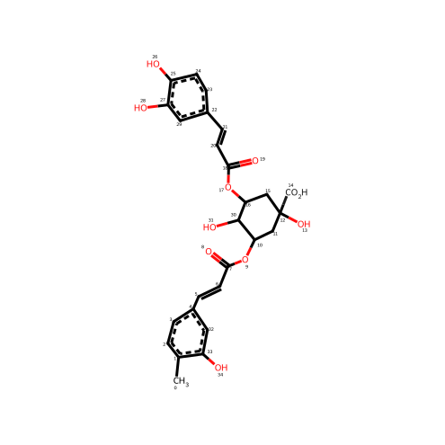 Cc1ccc(/C=C/C(=O)OC2CC(O)(C(=O)O)CC(OC(=O)/C=C/c3ccc(O)c(O)c3)C2O)cc1O